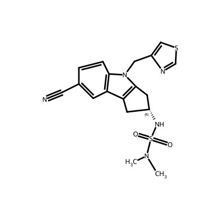 CN(C)S(=O)(=O)N[C@@H]1Cc2c(n(Cc3cscn3)c3ccc(C#N)cc23)C1